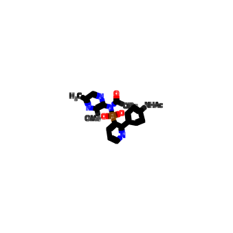 COc1nc(C)cnc1N(C(=O)OCC(C)C)S(=O)(=O)c1cccnc1-c1ccc(NC(C)=O)cc1